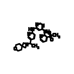 CC(c1ccc(Nc2cc(Nc3ncccc3S(C)(=O)=O)ncn2)nc1)N1CC2(CCOCC2)C1